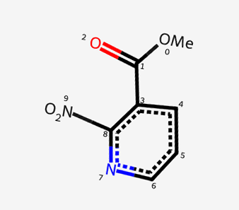 COC(=O)c1cccnc1[N+](=O)[O-]